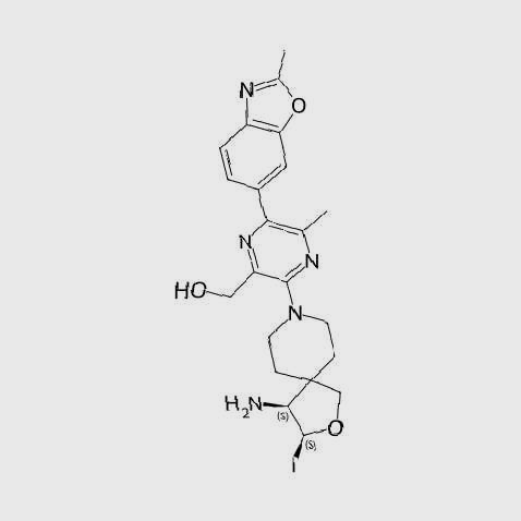 Cc1nc2ccc(-c3nc(CO)c(N4CCC5(CC4)CO[C@@H](I)[C@H]5N)nc3C)cc2o1